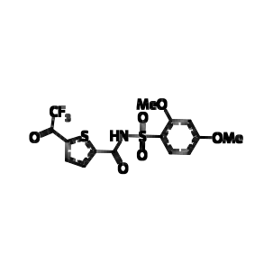 COc1ccc(S(=O)(=O)NC(=O)c2ccc(C(=O)C(F)(F)F)s2)c(OC)c1